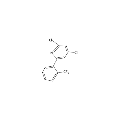 FC(F)(F)c1ccccc1-c1cc(Cl)cc(Cl)n1